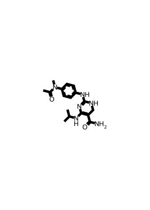 CC(=O)N(C)c1ccc(NC2=NC(NC(C)C)=C(C(N)=O)CN2)cc1